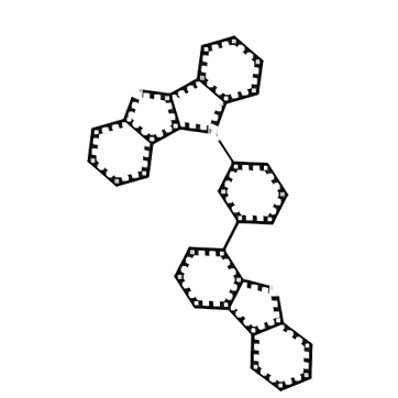 c1cc(-c2cccc3c2oc2ccccc23)cc(-n2c3ccccc3c3oc4ccccc4c32)c1